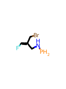 F/C=C(/CBr)CNP